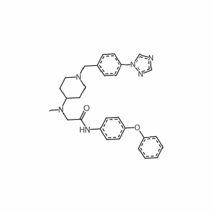 CN(CC(=O)Nc1ccc(Oc2ccccc2)cc1)C1CCN(Cc2ccc(-n3cncn3)cc2)CC1